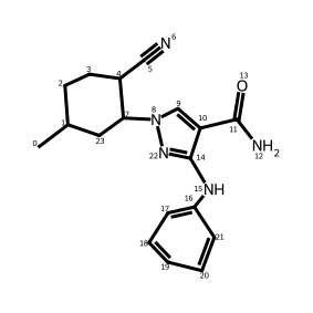 CC1CCC(C#N)C(n2cc(C(N)=O)c(Nc3ccccc3)n2)C1